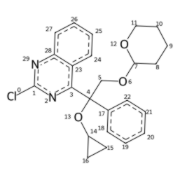 Clc1nc(C(COC2CCCCO2)(OC2CC2)c2ccccc2)c2ccccc2n1